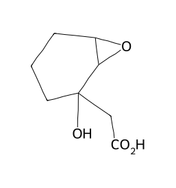 O=C(O)CC1(O)CCCC2OC21